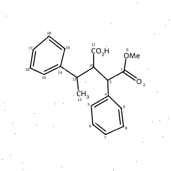 COC(=O)C(c1ccccc1)C(C(=O)O)C(C)c1ccccc1